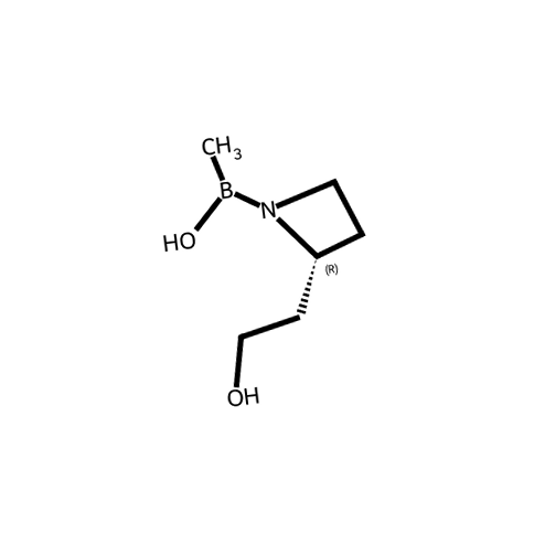 CB(O)N1CC[C@@H]1CCO